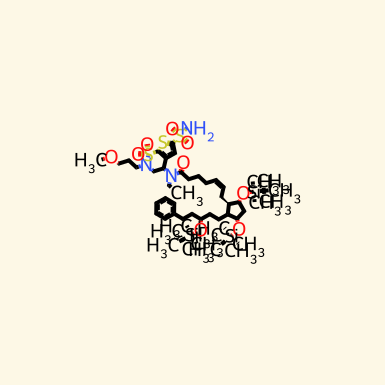 CCN(C(=O)CCC/C=C\C[C@H]1C(O[Si](C)(C)C(C)(C)C)CC(O[Si](C)(C)C(C)(C)C)C1CCC(CCc1ccccc1)O[Si](C)(C)C(C)(C)C)C1CN(CCCOC)S(=O)(=O)c2sc(S(N)(=O)=O)cc21